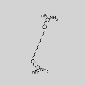 CCCc1cc(Cc2ccc(CCCCCCCCCCCCCCCCc3ccc(Cc4ccc(N)c(CCC)c4)cc3)cc2)ccc1N